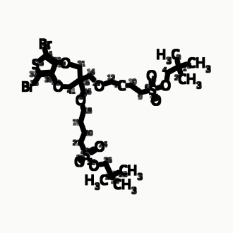 CC(C)(C)COS(=O)(=O)CCCCOCC1(COCCCCS(=O)(=O)OCC(C)(C)C)COc2c(Br)sc(Br)c2OC1